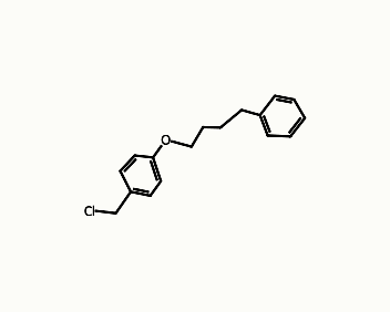 ClCc1ccc(OCCCCc2ccccc2)cc1